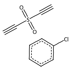 C#CS(=O)(=O)C#C.Clc1ccccc1